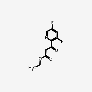 CCOC(=O)CC(=O)c1ncc(F)cc1F